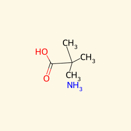 CC(C)(C)C(=O)O.N